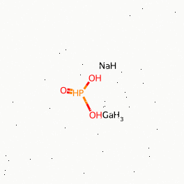 O=[PH](O)O.[GaH3].[NaH]